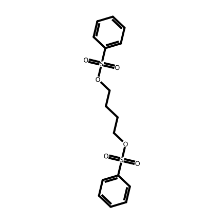 O=S(=O)(OCCCCOS(=O)(=O)c1ccccc1)c1ccccc1